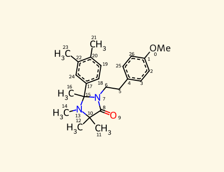 COc1ccc(CCN2C(=O)C(C)(C)N(C)C2(C)c2ccc(C)c(C)c2)cc1